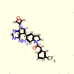 Nc1ncnc2c1c(-c1ccc3c(c1)CCN3C(=O)Cc1cccc(C(F)(F)F)c1)cn2C1COC1